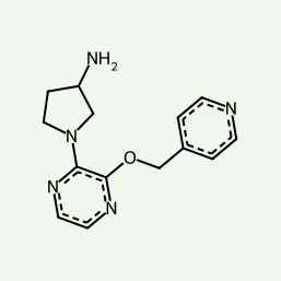 NC1CCN(c2nccnc2OCc2ccncc2)C1